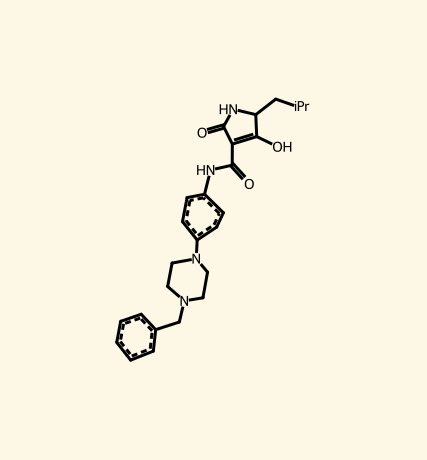 CC(C)CC1NC(=O)C(C(=O)Nc2ccc(N3CCN(Cc4ccccc4)CC3)cc2)=C1O